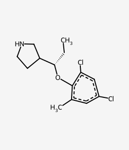 CC[C@H](Oc1c(C)cc(Cl)cc1Cl)C1CCNC1